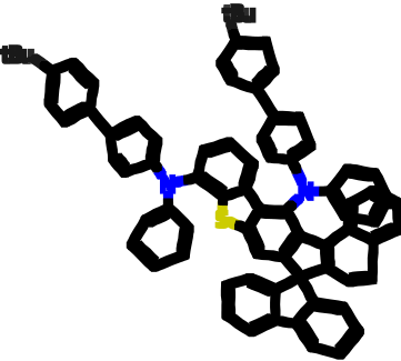 CC(C)(C)c1ccc(-c2ccc(N(c3ccccc3)c3cccc4c3sc3cc5c(c(N(c6ccccc6)c6ccc(-c7ccc(C(C)(C)C)cc7)cc6)c34)-c3c(ccc4ccccc34)C53c4ccccc4-c4ccccc43)cc2)cc1